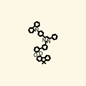 CC1(C)c2ccccc2-c2c1ccc1c2Oc2c(cccc2-c2cccc(-c3nc(-c4ccccc4)cc(-c4ccc(-n5c6ccccc6c6ccccc65)cc4)n3)c2)O1